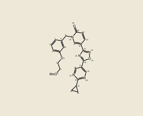 COCCOc1cccc(Cn2cc(-c3noc(-c4cnc(C5CC5)nc4)n3)ccc2=O)c1